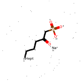 CCCCCCCCCCC(=O)CS(=O)(=O)[O-].[Na+]